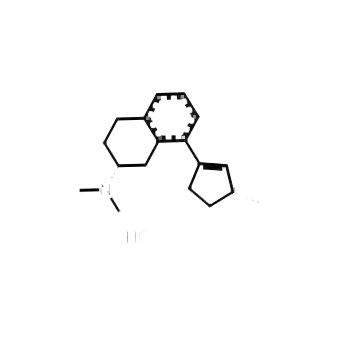 C[C@H]1C=C(c2cccc3c2C[C@H](N(C)C)CC3)CC1.Cl